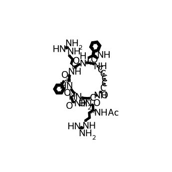 CC(=O)N[C@@H](CCCNC(=N)N)C(=O)N[C@H]1CNC(=O)CCCCCNC(=O)[C@H](Cc2c[nH]c3ccccc23)NC(=O)[C@H](CCCNC(=N)N)NC(=O)[C@@H](Cc2ccccc2)NC(=O)[C@H](CC(N)=O)NC1=O